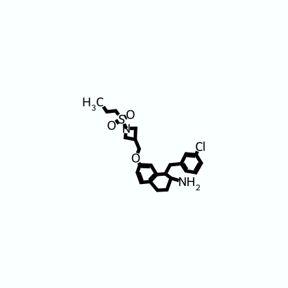 CCCS(=O)(=O)N1CC(COc2ccc3c(c2)C(Cc2cccc(Cl)c2)C(N)CC3)C1